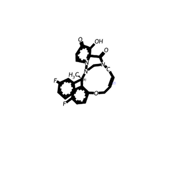 C[C@@]1(c2cccc(F)c2)c2cc(F)ccc2OC/C=C\CN2CN1n1ccc(=O)c(O)c1C2=O